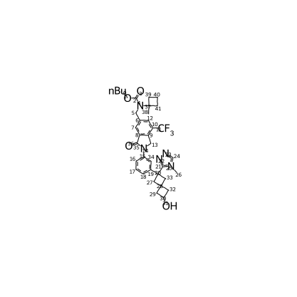 CCCCOC(=O)N(Cc1cc2c(c(C(F)(F)F)c1)CN(c1cccc(C3(c4nncn4C)CC4(CC(O)C4)C3)c1)C2=O)C1(C)CCC1